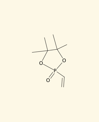 C=CP1(=O)OC(C)(C)C(C)(C)O1